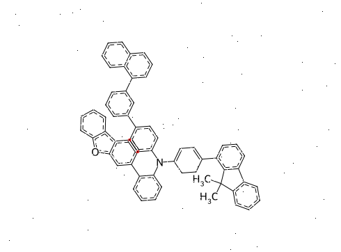 CC1(C)c2ccccc2-c2cccc(C3=CC=C(N(c4ccc(-c5cccc(-c6cccc7ccccc67)c5)cc4)c4ccccc4-c4c#cc5c(c4)oc4ccccc45)CC3)c21